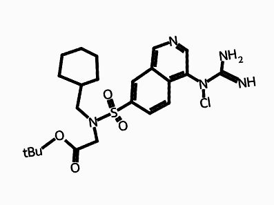 CC(C)(C)OC(=O)CN(CC1CCCCC1)S(=O)(=O)c1ccc2c(N(Cl)C(=N)N)cncc2c1